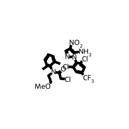 COCCN(C(=O)CCl)c1c(C)cccc1C.Nc1c([N+](=O)[O-])cnn1-c1c(Cl)cc(C(F)(F)F)cc1Cl